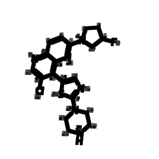 FC1CCN(c2ccc3ncc(Cl)c(-c4cnc(N5CCNCC5)s4)c3n2)C1